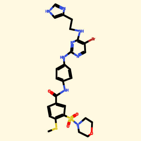 CSc1ccc(C(=O)Nc2ccc(Nc3ncc(Br)c(NCCc4c[nH]cn4)n3)cc2)cc1S(=O)(=O)N1CCOCC1